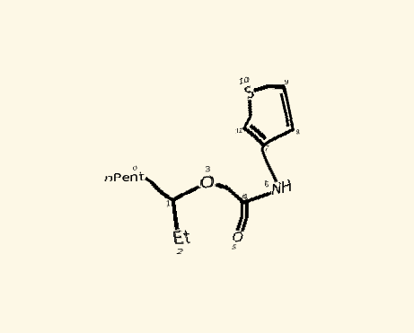 CCCCCC(CC)OC(=O)Nc1ccsc1